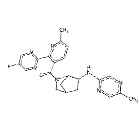 Cc1cnc(NC2CC3CC2N(C(=O)c2ccc(C)nc2-c2ncc(F)cn2)C3)cn1